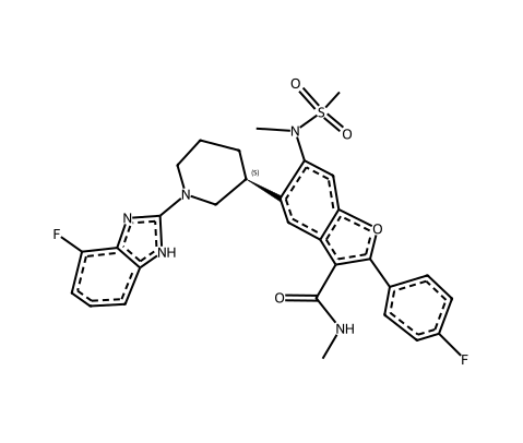 CNC(=O)c1c(-c2ccc(F)cc2)oc2cc(N(C)S(C)(=O)=O)c([C@@H]3CCCN(c4nc5c(F)cccc5[nH]4)C3)cc12